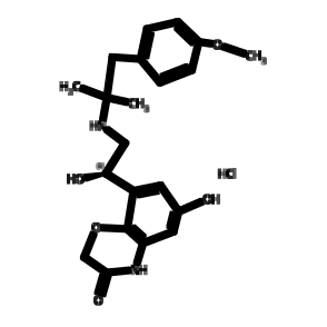 COc1ccc(CC(C)(C)NC[C@H](O)c2cc(O)cc3c2OCC(=O)N3)cc1.Cl